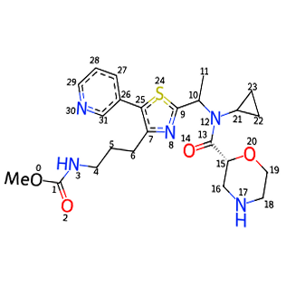 COC(=O)NCCCc1nc(C(C)N(C(=O)[C@H]2CNCCO2)C2CC2)sc1-c1cccnc1